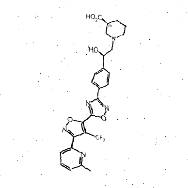 Cc1cccc(-c2noc(-c3nc(-c4ccc(C(O)CN5CCC[C@H](C(=O)O)C5)cc4)no3)c2C(F)(F)F)n1